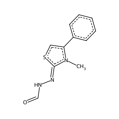 Cn1c(-c2ccccc2)csc1=NNC=O